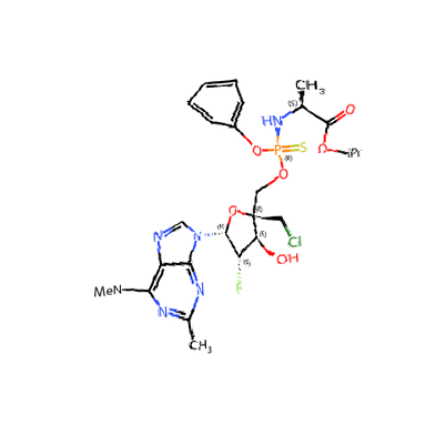 CNc1nc(C)nc2c1ncn2[C@@H]1O[C@](CCl)(CO[P@](=S)(N[C@@H](C)C(=O)OC(C)C)Oc2ccccc2)[C@@H](O)[C@@H]1F